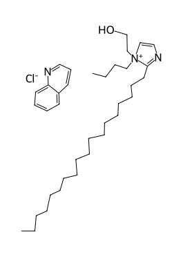 CCCCCCCCCCCCCCCCCCC1=NC=C[N+]1(CCO)CCCC.[Cl-].c1ccc2ncccc2c1